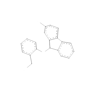 CCOC(=O)Cc1ccccc1OC1c2ccccc2-c2ccc(Br)cc21